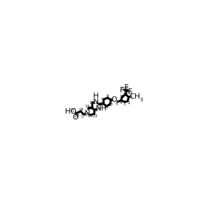 CC1CCC(COC2CCC(C3NCC4CN(CCC(=O)O)CCC4N3)CC2)CC1C(F)(F)F